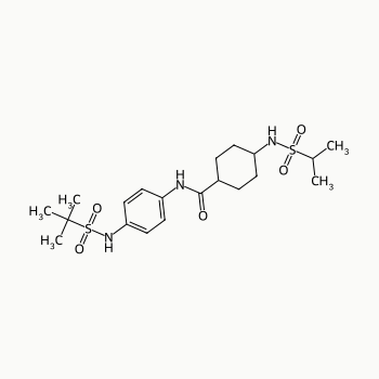 CC(C)S(=O)(=O)NC1CCC(C(=O)Nc2ccc(NS(=O)(=O)C(C)(C)C)cc2)CC1